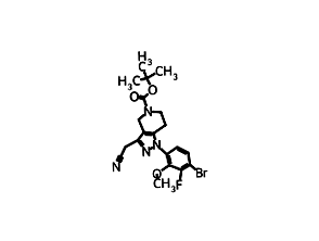 COc1c(-n2nc(CC#N)c3c2CCN(C(=O)OC(C)(C)C)C3)ccc(Br)c1F